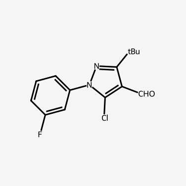 CC(C)(C)c1nn(-c2cccc(F)c2)c(Cl)c1C=O